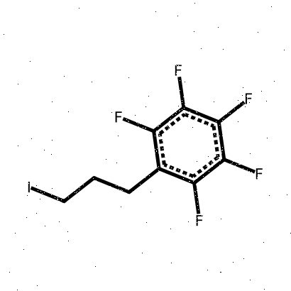 Fc1c(F)c(F)c(CCCI)c(F)c1F